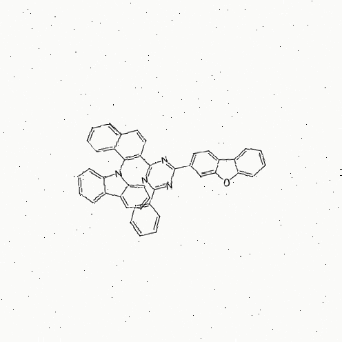 c1ccc(-c2nc(-c3ccc4c(c3)oc3ccccc34)nc(-c3ccc4ccccc4c3-n3c4ccccc4c4ccccc43)n2)cc1